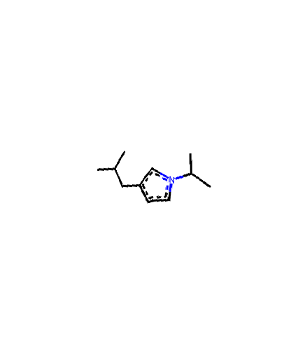 CC(C)Cc1ccn(C(C)C)c1